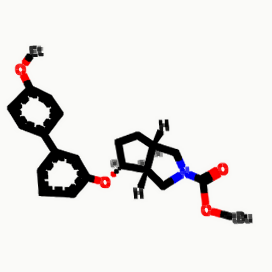 CCOc1ccc(-c2cccc(O[C@@H]3CC[C@@H]4CN(C(=O)OC(C)(C)C)C[C@@H]43)c2)cc1